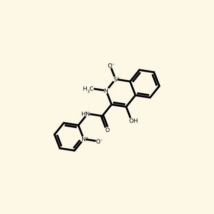 CN1C(C(=O)Nc2cccc[n+]2[O-])=C(O)c2ccccc2[S+]1[O-]